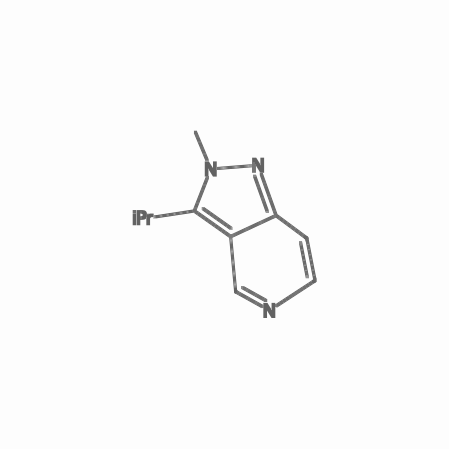 CC(C)c1c2cnccc2nn1C